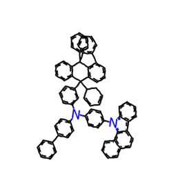 C1=CCC(C2(c3cccc(N(c4ccc(-c5ccccc5)cc4)c4ccc(-n5c6ccccc6c6ccc7ccccc7c65)cc4)c3)c3ccccc3C3(c4ccccc4)c4ccccc4-c4cccc2c43)C=C1